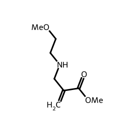 C=C(CNCCOC)C(=O)OC